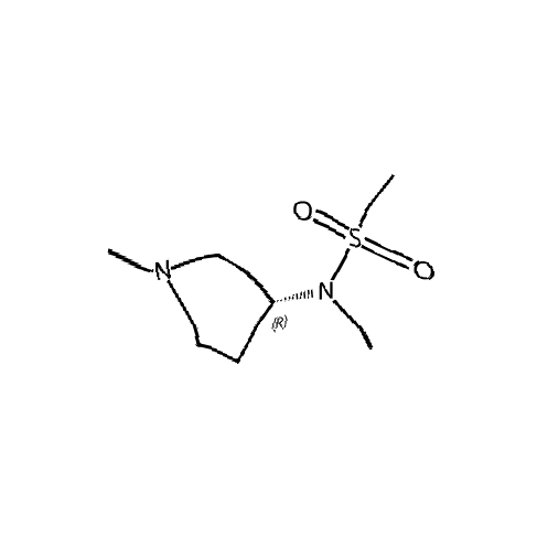 CN1CC[C@@H](N(C)S(C)(=O)=O)C1